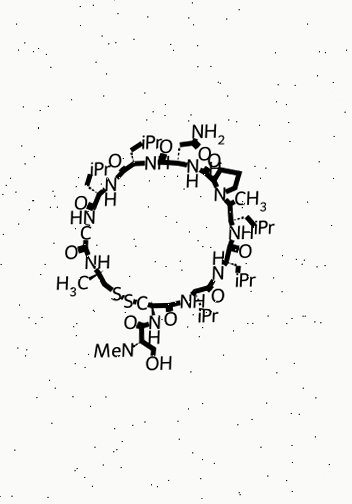 CN[C@@H](CO)C(=O)N[C@H]1CSSC[C@@H](C)NC(=O)CNC(=O)[C@H](CC(C)C)NC(=O)[C@H](CC(C)C)NC(=O)[C@H](CC(N)=O)NC(=O)[C@@H]2CCCN2C(C)[C@H](CC(C)C)NC(=O)[C@H](CC(C)C)NC(=O)[C@H](CC(C)C)NC1=O